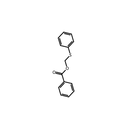 O=C(OCSc1ccccc1)c1ccccc1